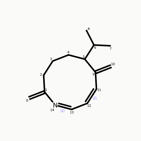 C=C1CCCC(C(C)C)C(=C)/C=C\C=N/1